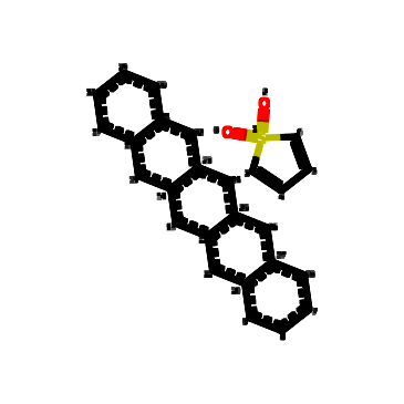 O=S1(=O)C=CC=C1.c1ccc2cc3cc4cc5ccccc5cc4cc3cc2c1